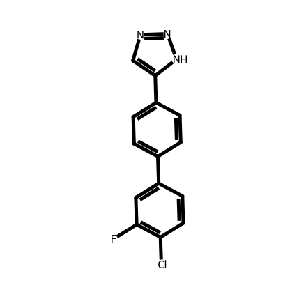 Fc1cc(-c2ccc(-c3cnn[nH]3)cc2)ccc1Cl